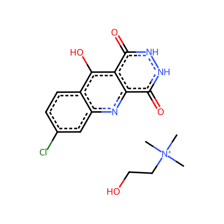 C[N+](C)(C)CCO.O=c1[nH][nH]c(=O)c2c(O)c3ccc(Cl)cc3nc12